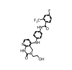 O=C(Nc1ccc(Nc2ccnc3c2CN(CCO)C(=O)N3)cc1)c1ccc(F)cc1C(F)(F)F